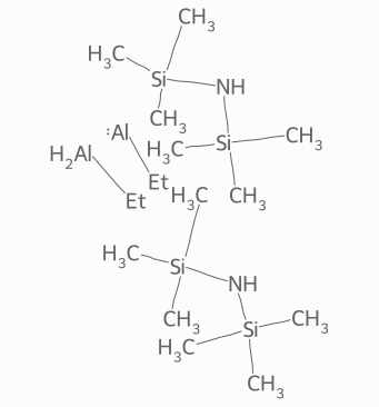 C[CH2][AlH2].C[CH2][Al].C[Si](C)(C)N[Si](C)(C)C.C[Si](C)(C)N[Si](C)(C)C